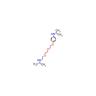 CC(C)NCCOCCOCCOc1ccc(NC(C)C)cc1